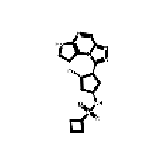 CC[C@@H]1C[C@H](NS(=O)(=O)C2CCC2)C[C@@H]1c1nnc2cnc3c(n12)CCN3